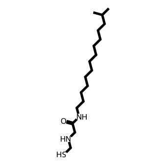 CC(C)CCCCCCCCCCCCNC(=O)CNCS